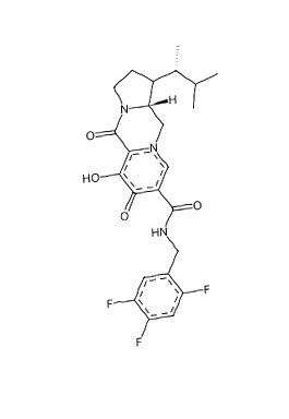 CC(C)[C@@H](C)C1CCN2C(=O)c3c(O)c(=O)c(C(=O)NCc4cc(F)c(F)cc4F)cn3C[C@@H]12